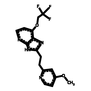 COc1ccnc(CCc2nc3c(OCC(F)(F)F)ccnc3[nH]2)c1